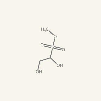 COS(=O)(=O)C(O)CO